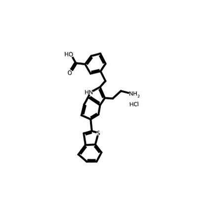 Cl.NCCc1c(Cc2cccc(C(=O)O)c2)[nH]c2ccc(-c3cc4ccccc4s3)cc12